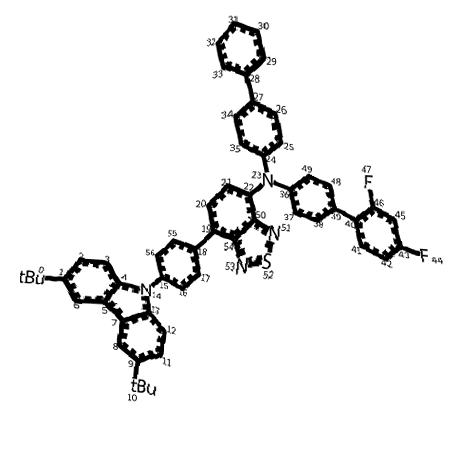 CC(C)(C)c1ccc2c(c1)c1cc(C(C)(C)C)ccc1n2-c1ccc(-c2ccc(N(c3ccc(-c4ccccc4)cc3)c3ccc(-c4ccc(F)cc4F)cc3)c3nsnc23)cc1